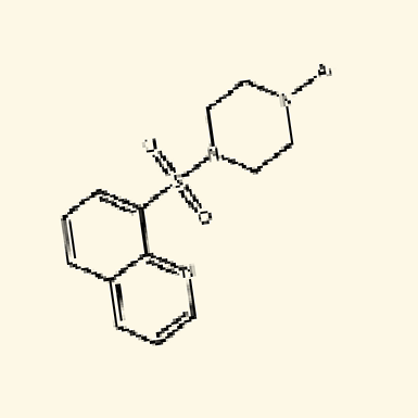 CC(=O)N1CCN(S(=O)(=O)c2cccc3cccnc23)CC1